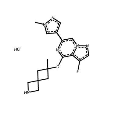 Cl.Cn1cc(-c2cn3ncc(F)c3c(OC3(C)CC4(CNC4)C3)n2)cn1